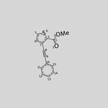 COC(=O)c1sccc1C#Cc1ccccc1